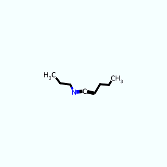 CCCC=C=NCCC